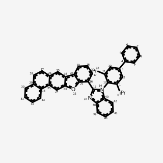 CC(C)c1cc(-c2ccccc2)cc(C(C)C)c1-n1c(-c2cccc3c2oc2cc4c(ccc5ccccc54)cc23)nc2ccccc21